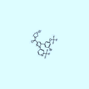 O=C(c1cc(-c2cc(Br)cc(OC(F)(F)F)c2)n(-c2ccnc(C(F)(F)F)c2)n1)N1CC[S+]([O-])C1